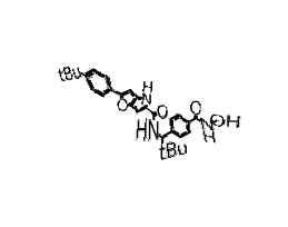 CC(C)(C)c1ccc(-c2cc3[nH]c(C(=O)NC(c4ccc(C(=O)NO)cc4)C(C)(C)C)cc3o2)cc1